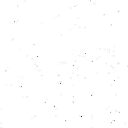 OOOOOOOCI